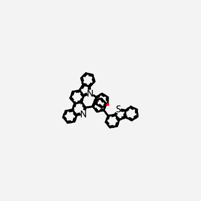 c1ccc(-n2c3ccccc3c3ccc4c5ccccc5nc(-c5cccc(-c6cccc7c6sc6ccccc67)c5)c4c32)cc1